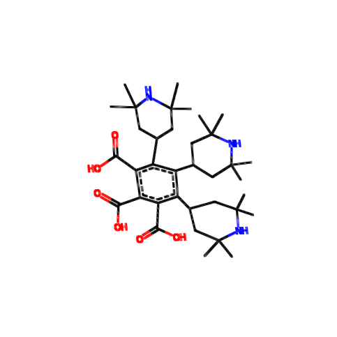 CC1(C)CC(c2c(C(=O)O)c(C(=O)O)c(C(=O)O)c(C3CC(C)(C)NC(C)(C)C3)c2C2CC(C)(C)NC(C)(C)C2)CC(C)(C)N1